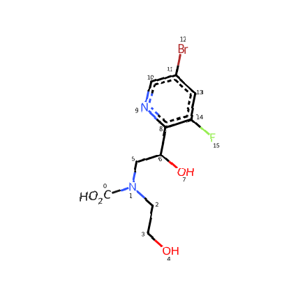 O=C(O)N(CCO)CC(O)c1ncc(Br)cc1F